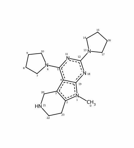 Cn1c2c(c3c(N4CCCC4)nc(N4CCCC4)nc31)CNCC2